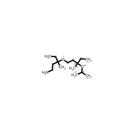 CCC(C)(CCN)OCCC(C)(CC)OC(C)C